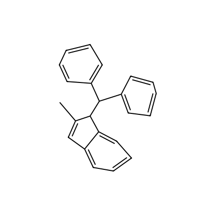 CC1=Cc2ccccc2C1C(c1ccccc1)c1ccccc1